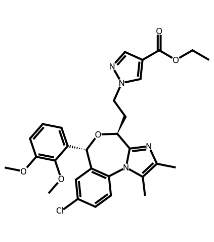 CCOC(=O)c1cnn(CC[C@@H]2O[C@@H](c3cccc(OC)c3OC)c3cc(Cl)ccc3-n3c2nc(C)c3C)c1